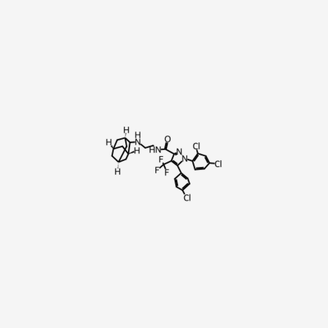 O=C(NCCNC1[C@H]2C[C@@H]3C[C@@H](C[C@H]1C3)C2)c1nn(-c2ccc(Cl)cc2Cl)c(-c2ccc(Cl)cc2)c1C(F)(F)F